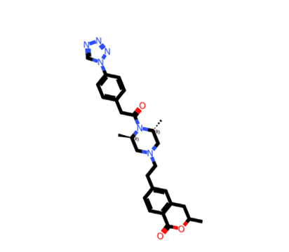 CC1Cc2cc(CCN3C[C@@H](C)N(C(=O)Cc4ccc(-n5cnnn5)cc4)[C@H](C)C3)ccc2C(=O)O1